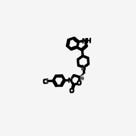 O=C1O[C@@H](CN2CCC(c3c[nH]c4ccccc34)CC2)CN1c1ccc(Cl)cc1